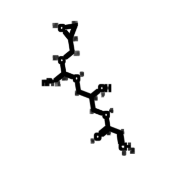 C=CC(=O)OCC(O)COC(CCC)OCC1CO1